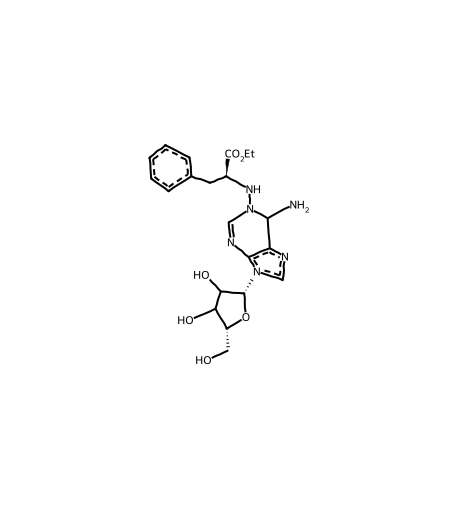 CCOC(=O)[C@H](Cc1ccccc1)NN1C=Nc2c(ncn2[C@@H]2O[C@H](CO)C(O)C2O)C1N